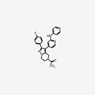 CC(=O)N1CCn2nc(-c3ccc(F)cc3)c(-c3ccnc(Nc4ccncc4)c3)c2C1